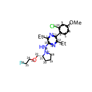 CCc1nc(-c2ccc(OC)cc2Cl)c(CC)nc1NN1CCC[C@@H]1COCCF